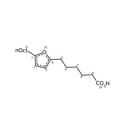 CCCCCCCCc1ccc(CCCCCC(=O)O)o1